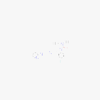 CN(C)C(=O)N1CC2(CCN(C3CCN(c4ccccn4)CC3)CC2)c2cc(F)ccc21